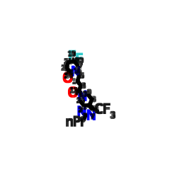 CCCc1nc2c(c(C(F)(F)F)n1)CCN(C(=O)CCCN1CC(F)(F)CCC1=O)C2